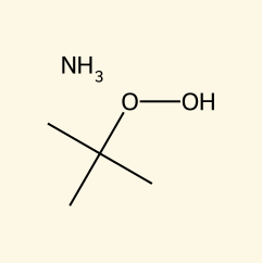 CC(C)(C)OO.N